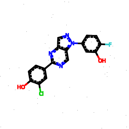 Oc1cc(-n2ncc3nc(-c4ccc(O)c(Cl)c4)ncc32)ccc1F